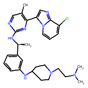 C[C@H](Nc1ncc(C#N)c(-c2cnc3c(Cl)cccn23)n1)c1cccc(NC2CCN(CCN(C)C)CC2)c1